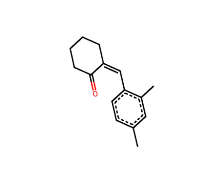 Cc1ccc(C=C2CCCCC2=O)c(C)c1